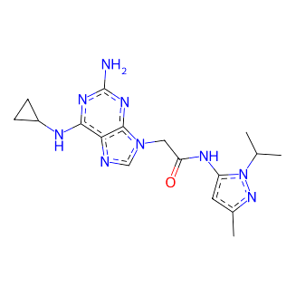 Cc1cc(NC(=O)Cn2cnc3c(NC4CC4)nc(N)nc32)n(C(C)C)n1